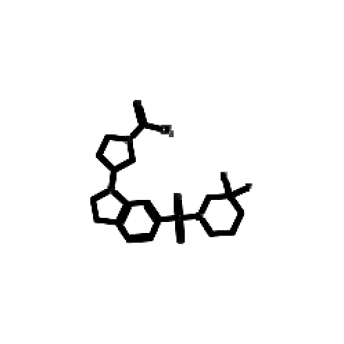 O=C(N1CCC(N2CCc3ccc(S(=O)(=O)N4CCCC(F)(F)C4)cc32)C1)C(F)(F)F